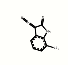 [N-]=[N+]=C1C(=O)Nc2c1cccc2C(F)(F)F